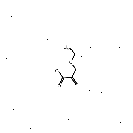 C=C(COCC(Cl)(Cl)Cl)C(=O)Cl